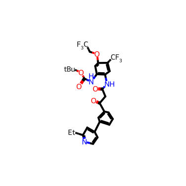 CCc1cc(-c2cccc(C(=O)CC(=O)Nc3cc(C(F)(F)F)c(OCC(F)(F)F)cc3NC(=O)OC(C)(C)C)c2)ccn1